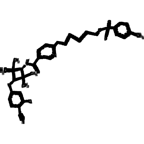 Cc1ccc(S(=O)(=O)OCCCCCCc2ccc(C(=O)N[C@H]3C(C)(C)[C@H](Oc4ccc(C#N)c(Cl)c4)C3(C)C)cn2)cc1